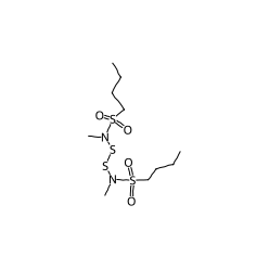 CCCCS(=O)(=O)N(C)SSN(C)S(=O)(=O)CCCC